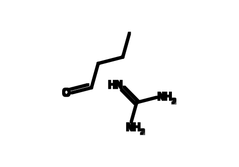 CCCC=O.N=C(N)N